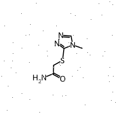 Cn1cnnc1SCC(N)=O